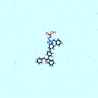 O=C(O)CCc1nc2cc(-c3ccc(-c4c(Cc5ccccc5)oc5ccccc45)cc3)ccc2n1Cc1ccccc1